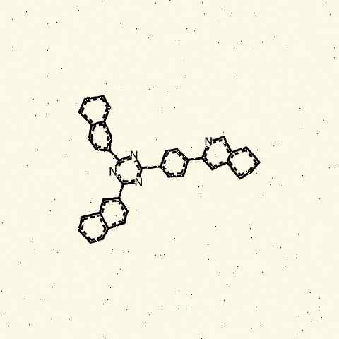 c1ccc2cc(-c3nc(-c4ccc(-c5cc6ccccc6cn5)cc4)nc(-c4ccc5ccccc5c4)n3)ccc2c1